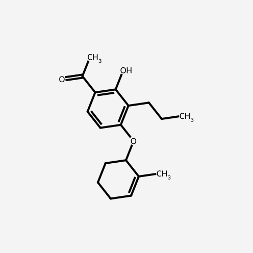 CCCc1c(OC2CCCC=C2C)ccc(C(C)=O)c1O